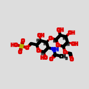 CC(=O)NC1[C@H](O)OC(COS(=O)(=O)O)[C@H](O)[C@@H]1O[C@@H]1OC(OC=O)[C@@H](O)[C@H](O)C1O